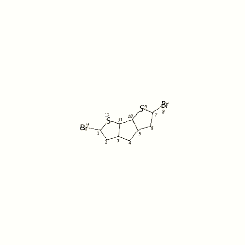 BrC1CC2CC3CC(Br)SC3C2S1